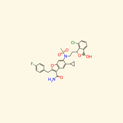 CS(=O)(=O)N(CCC1OB(O)c2cccc(Cl)c21)c1cc2oc(Cc3ccc(F)cc3)c(C(N)=O)c2cc1C1CC1